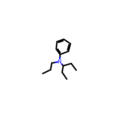 CCCN(c1ccccc1)C(CC)CC